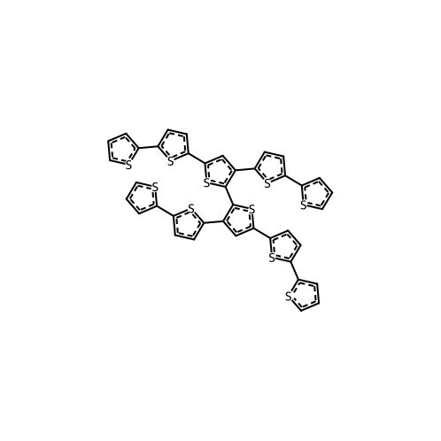 c1csc(-c2ccc(-c3cc(-c4ccc(-c5cccs5)s4)c(-c4sc(-c5ccc(-c6cccs6)s5)cc4-c4ccc(-c5cccs5)s4)s3)s2)c1